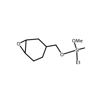 CC[Si](C)(OC)OCC1CCC2OC2C1